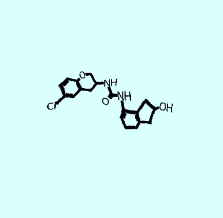 O=C(Nc1cccc2c1CC(O)C2)NC1COc2ccc(Cl)cc2C1